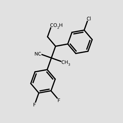 CC(C#N)(c1ccc(F)c(F)c1)C(CC(=O)O)c1cccc(Cl)c1